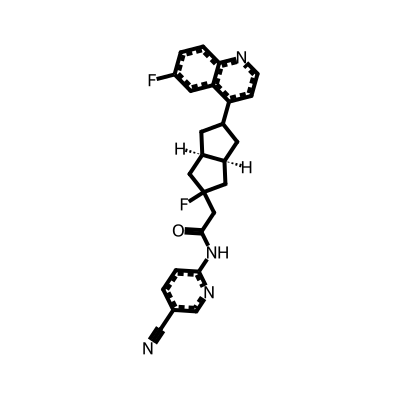 N#Cc1ccc(NC(=O)CC2(F)C[C@H]3CC(c4ccnc5ccc(F)cc45)C[C@H]3C2)nc1